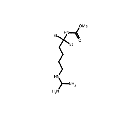 CCC(CC)(CCCCNC(N)N)NC(=O)OC